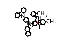 Cc1ccccc1Oc1cc(N(c2ccc(-n3c4ccccc4c4ccccc43)cc2)c2ccc3ccccc3c2)ccc1C1[C@H]2C[C@@H](C)C[C@@H]1C[C@@H](C)C2